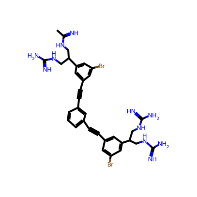 CC(=N)NCC(CNC(=N)N)c1cc(Br)cc(C#Cc2cccc(C#Cc3cc(Br)cc(C(CNC(=N)N)CNC(=N)N)c3)c2)c1